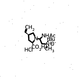 C=C[C@@H]1C[C@@H](C(=O)O)N(C(C[N+](C)([O-])C(C)(C)C)NC(C)=O)C1.Cl